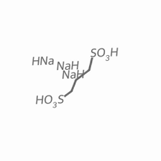 O=S(=O)(O)CCCS(=O)(=O)O.[NaH].[NaH].[NaH]